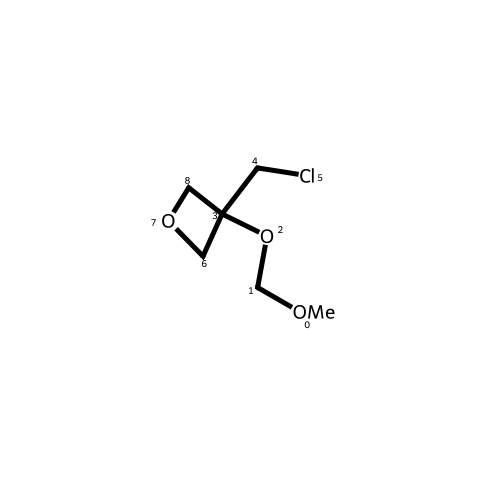 COCOC1(CCl)COC1